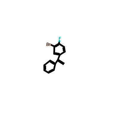 C=C(c1ccccc1)c1ccc(F)c(Br)c1